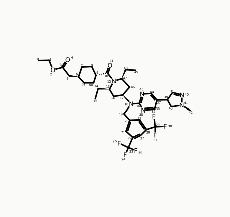 CCOC(=O)C[C@H]1CC[C@H](C(=O)N2[C@H](CC)C[C@H](N(Cc3cc(C(F)(F)F)cc(C(F)(F)F)c3)c3ncc(C4C=NN(C)C4)cn3)C[C@@H]2CC)CC1